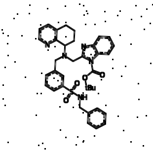 CC(C)(C)OC(=O)n1c(CN(Cc2cccc(S(=O)(=O)NCc3ccccc3)c2)C2CCCc3cccnc32)nc2ccccc21